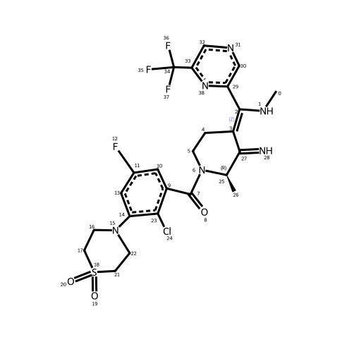 CN/C(=C1/CCN(C(=O)c2cc(F)cc(N3CCS(=O)(=O)CC3)c2Cl)[C@H](C)C1=N)c1cncc(C(F)(F)F)n1